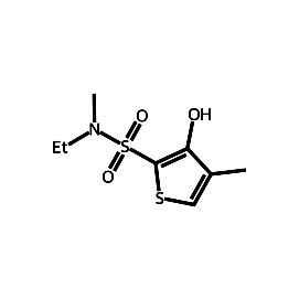 CCN(C)S(=O)(=O)c1scc(C)c1O